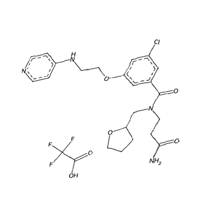 NC(=O)CCN(CC1CCCO1)C(=O)c1cc(Cl)cc(OCCNc2ccncc2)c1.O=C(O)C(F)(F)F